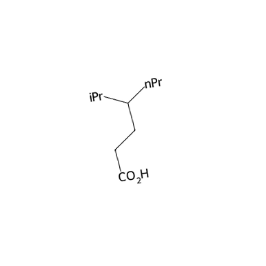 CCCC(CCC(=O)O)C(C)C